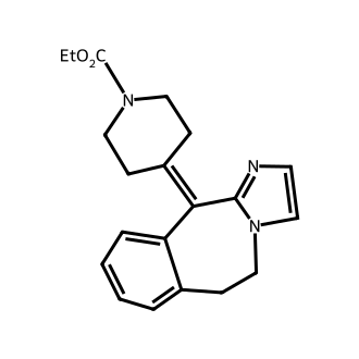 CCOC(=O)N1CCC(=C2c3ccccc3CCn3ccnc32)CC1